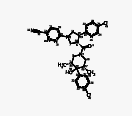 C[C@@H]1CN(C(=O)[C@@H]2CN(c3ccc(C#N)nn3)C[C@H]2c2ccc(Cl)cn2)C[C@H](C)C1(O)c1ccc(Cl)cc1